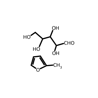 Cc1ccco1.O=CC(O)C(O)C(O)CO